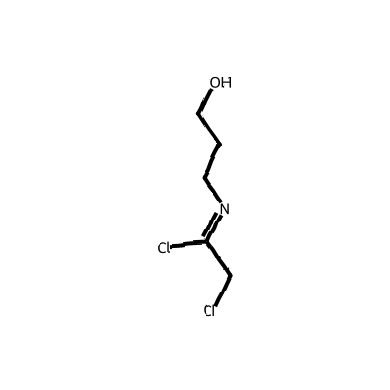 OCCCN=C(Cl)CCl